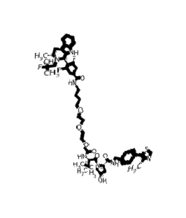 Cc1ncsc1-c1ccc(CNC(=O)[C@@H]2C[C@@H](O)CN2C(=O)[C@@H](NC(=O)COCCOCCOCCCCNC(=O)c2cc(F)c([C@@H]3c4[nH]c5ccccc5c4C[C@@H](C)N3CC(C)(C)F)c(F)c2)C(C)(C)C)cc1